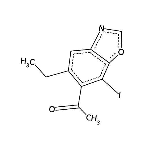 CCc1cc2ncoc2c(I)c1C(C)=O